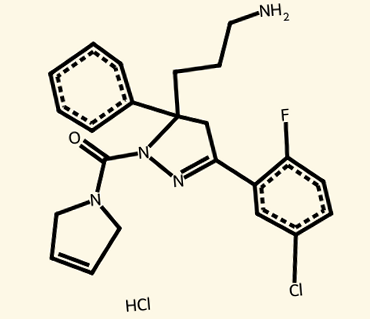 Cl.NCCCC1(c2ccccc2)CC(c2cc(Cl)ccc2F)=NN1C(=O)N1CC=CC1